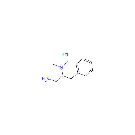 CN(C)C(CN)Cc1ccccc1.Cl